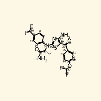 C[C@H](C(N)=O)N(c1ccc(C(F)F)cc1)c1nc(N)c(C(=O)c2ccc(OC(F)F)nc2)s1